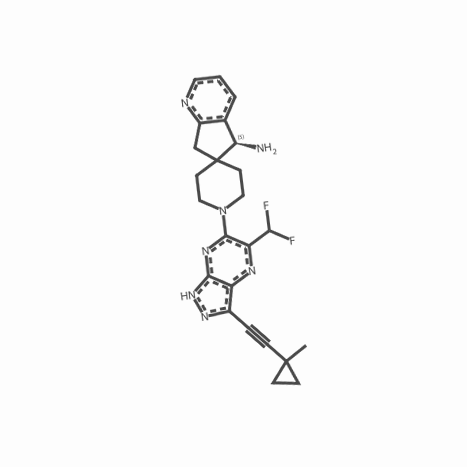 CC1(C#Cc2n[nH]c3nc(N4CCC5(CC4)Cc4ncccc4[C@H]5N)c(C(F)F)nc23)CC1